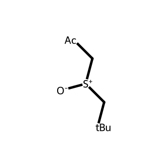 CC(=O)C[S+]([O-])CC(C)(C)C